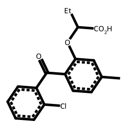 CCC(Oc1cc(C)ccc1C(=O)c1ccccc1Cl)C(=O)O